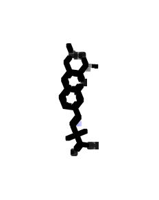 COCc1cc2ccc(/C=C/C(C)(C)C(=O)O)cc2nc1[C@@H](C)O